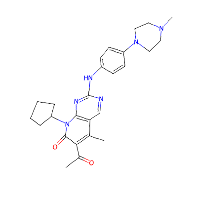 CC(=O)c1c(C)c2cnc(Nc3ccc(N4CCN(C)CC4)cc3)nc2n(C2CCCC2)c1=O